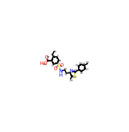 CCc1ccc(S(=O)(=O)NCCc2nc(-c3ccc(C)cc3)sc2C)cc1C(=O)O